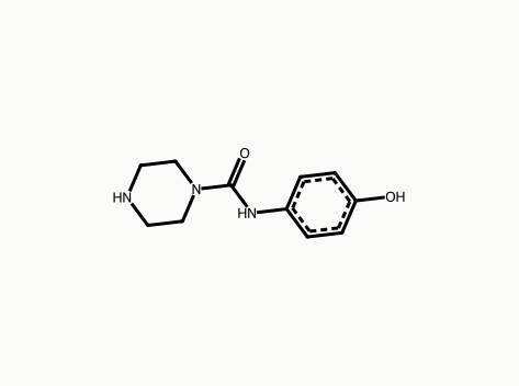 O=C(Nc1ccc(O)cc1)N1CCNCC1